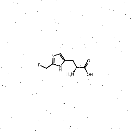 N[C@@H](Cc1cnc(CF)[nH]1)C(=O)O